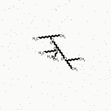 CCCCCCCCC(CCCCCC)COC(=O)CCCCCC(CCCCCC(=O)OCC(CCCCCC)CCCCCCCC)N(CCCN(C)C)C(O)CCCCCCC